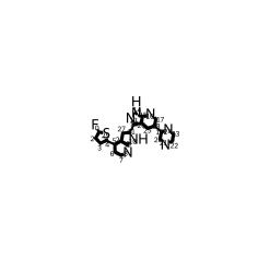 Fc1ccc(-c2ccnc3[nH]c(-c4n[nH]c5ncc(-c6cnccn6)cc45)cc23)s1